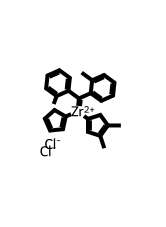 CC1=C(C)C[C]([Zr+2]([C]2=CC=CC2)=[C](c2ccccc2C)c2ccccc2C)=C1.[Cl-].[Cl-]